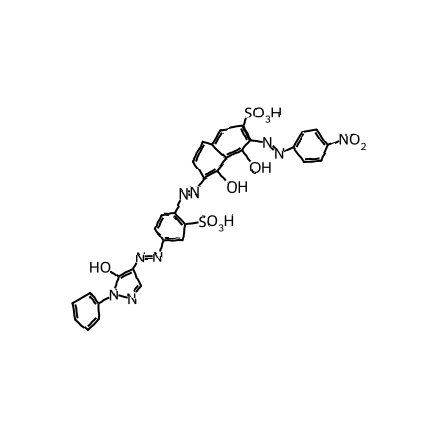 O=[N+]([O-])c1ccc(/N=N/c2c(S(=O)(=O)O)cc3ccc(/N=N/c4ccc(/N=N/c5cnn(-c6ccccc6)c5O)cc4S(=O)(=O)O)c(O)c3c2O)cc1